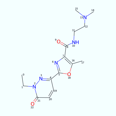 CCn1nc(-c2nc(C(=O)NCCN(C)C)c(C)o2)ccc1=O